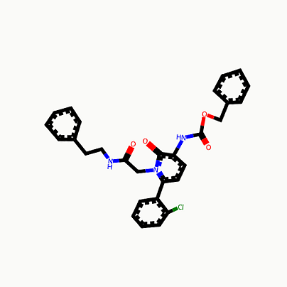 O=C(Cn1c(-c2ccccc2Cl)ccc(NC(=O)OCc2ccccc2)c1=O)NCCc1ccccc1